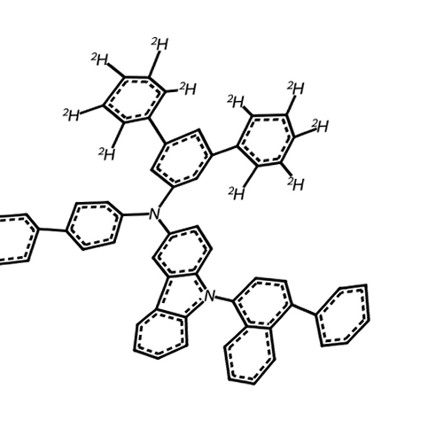 [2H]c1c([2H])c([2H])c(-c2cc(-c3c([2H])c([2H])c([2H])c([2H])c3[2H])cc(N(c3ccc(-c4ccccc4)cc3)c3ccc4c(c3)c3ccccc3n4-c3ccc(-c4ccccc4)c4ccccc34)c2)c([2H])c1[2H]